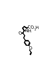 C=CCOc1ccc(CCC(=O)c2ccc(C(=O)O)[nH]2)cc1